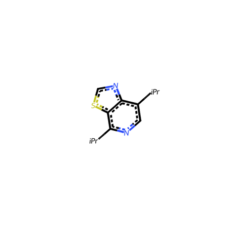 CC(C)c1cnc(C(C)C)c2scnc12